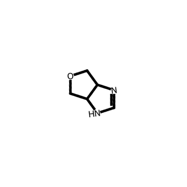 C1=NC2COCC2N1